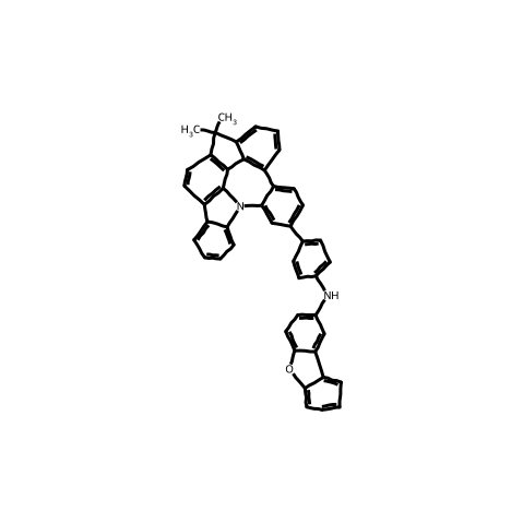 CC1(C)c2cccc3c2-c2c1ccc1c4ccccc4n(c21)-c1cc(-c2ccc(Nc4ccc5oc6ccccc6c5c4)cc2)ccc1-3